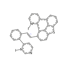 I[n+]1cnccc1-c1ccccc1/C=C/c1ccc2sc3cccc4c5ccc[n+](I)c5c1c2c34